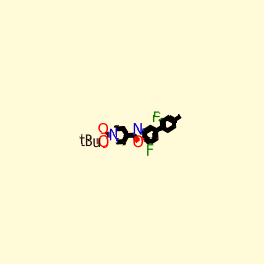 Cc1ccc(-c2cc(F)c3oc(C4CCN(C(=O)OC(C)(C)C)CC4)nc3c2)c(F)c1